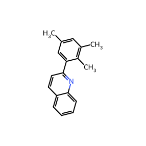 Cc1cc(C)c(C)c(-c2ccc3ccccc3n2)c1